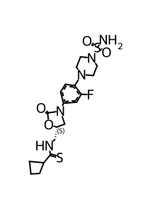 NS(=O)(=O)N1CCN(c2ccc(N3C[C@H](CNC(=S)C4CCC4)OC3=O)cc2F)CC1